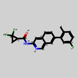 Cc1ccc(F)cc1-c1ccc2cc(NC(=O)C3CC3(F)F)ncc2c1